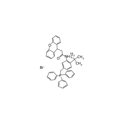 CC(C)(C)c1ccc(C[P+](c2ccccc2)(c2ccccc2)c2ccccc2)cc1NC(=O)CC1c2ccccc2Oc2ccccc21.[Br-]